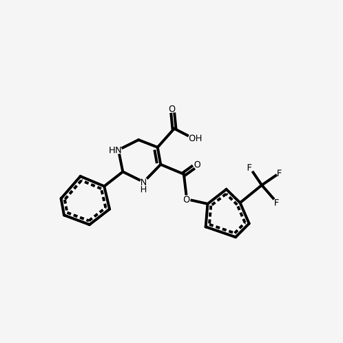 O=C(O)C1=C(C(=O)Oc2cccc(C(F)(F)F)c2)NC(c2ccccc2)NC1